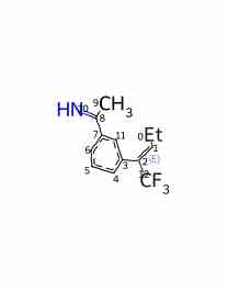 CC/C=C(\c1cccc(C(C)=N)c1)C(F)(F)F